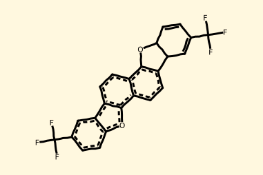 FC(F)(F)C1=CC2c3ccc4c(ccc5c6cc(C(F)(F)F)ccc6oc45)c3OC2C=C1